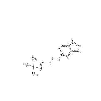 CC(C)(C)N=CCCCc1ccc2sccc2c1